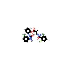 C[C@@H](CNC(=O)c1c(F)cccc1Cl)C(=O)Oc1ccccc1-n1c(=O)n(C)c2cccc(Cl)c21